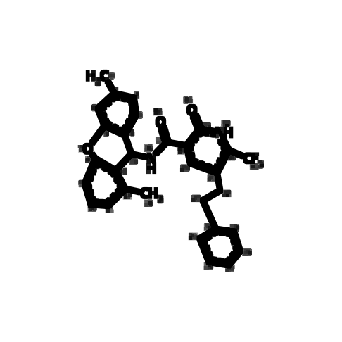 Cc1ccc2c(c1)Oc1cccc(C)c1C2NC(=O)c1cc(CCc2ccccc2)c(C(F)(F)F)[nH]c1=O